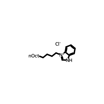 CCCCCCCCCCCC[n+]1c[nH]c2ccccc21.[Cl-]